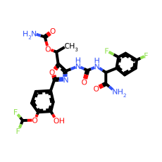 CC(OC(N)=O)c1oc(-c2ccc(OC(F)F)c(O)c2)nc1NC(=O)NC(C(N)=O)c1ccc(F)cc1F